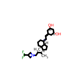 CC(CCN1CC(C(F)F)C1)[C@H]1CC[C@H]2/C(=C/C=C3C[C@@H](O)C[C@H](O)C3)CCC[C@]12C